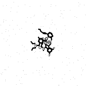 CCCC#Cc1cccc(CNCC(CC)C2(NC(=O)c3cc(C)cc(C(=O)N(CCC)CCC)c3)C(c3cc(F)cc(F)c3)N(C)CCN2C(=O)O)c1